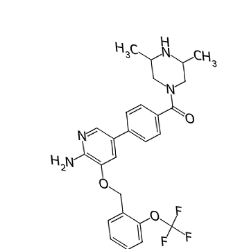 CC1CN(C(=O)c2ccc(-c3cnc(N)c(OCc4ccccc4OC(F)(F)F)c3)cc2)CC(C)N1